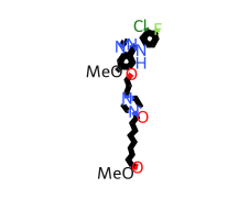 COC(=O)CCCCCCCC(=O)N1CCN(CCCOc2cc3c(Nc4ccc(F)c(Cl)c4)ncnc3cc2OC)CC1